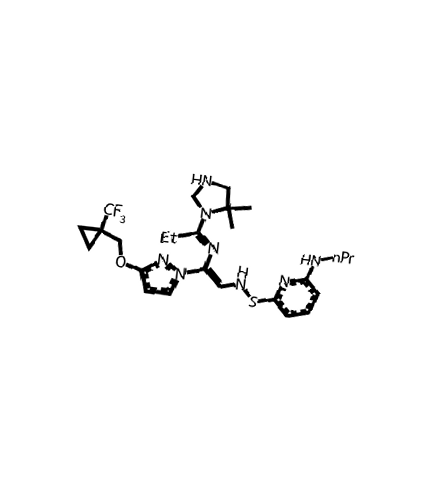 CCCNc1cccc(SN/C=C(\N=C(/CC)N2CNCC2(C)C)n2ccc(OCC3(C(F)(F)F)CC3)n2)n1